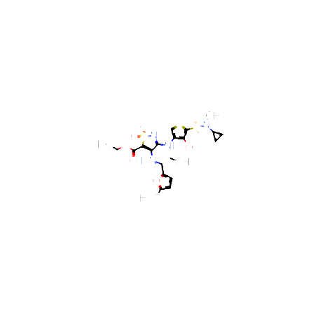 CCOC(=O)C1=C(N[C@H](CC)c2ccc(C)o2)C(Nc2csc(S(=O)(=O)N(C)C3CC3)c2O)=NS1(=O)=O